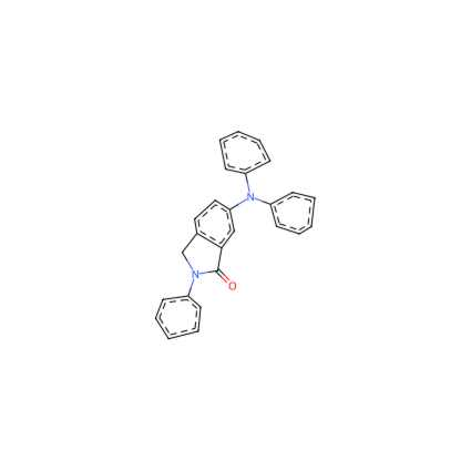 O=C1c2cc(N(c3ccccc3)c3ccccc3)ccc2CN1c1ccccc1